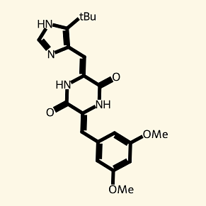 COc1cc(/C=c2\[nH]c(=O)/c(=C/c3nc[nH]c3C(C)(C)C)[nH]c2=O)cc(OC)c1